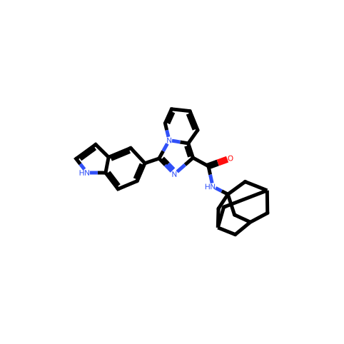 O=C(NC12CC3CC(CC(C3)C1)C2)c1nc(-c2ccc3[nH]ccc3c2)n2ccccc12